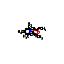 C=CC(=O)OC(CCC)N1C(C)(C)CC(C)CC1(C)C